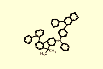 CC1(C)c2cc(N(c3ccccc3)c3ccc(-c4cc5ccccc5cc4-c4ccccc4)cc3)ccc2-c2c(-c3ccccc3-c3ccccc3)cccc21